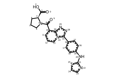 O=C(O)[C@@H]1CCCN1C(=O)c1cccn2c(-c3ccc(Nc4nccs4)cc3)nnc12